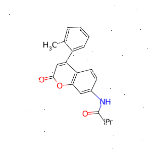 Cc1ccccc1-c1cc(=O)oc2cc(NC(=O)C(C)C)ccc12